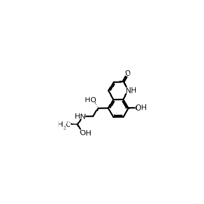 C[C](O)NC[C@H](O)c1ccc(O)c2[nH]c(=O)ccc12